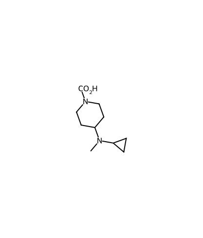 CN(C1CC1)C1CCN(C(=O)O)CC1